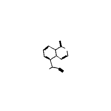 C#CC(OC(C)=O)C1=CC=CC2C(=O)NC=CC12